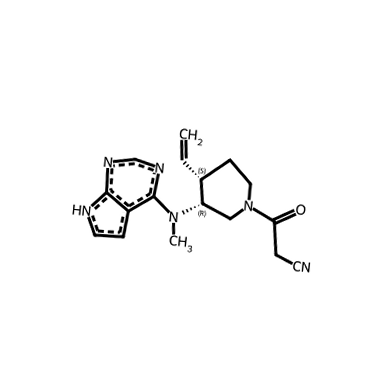 C=C[C@@H]1CCN(C(=O)CC#N)C[C@@H]1N(C)c1ncnc2[nH]ccc12